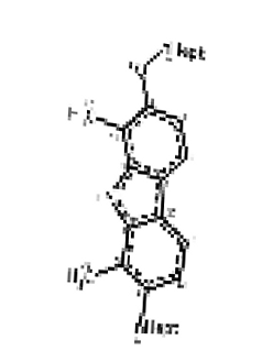 CCCCCCCOc1ccc2c(sc3c(C)c(CCCCCCC)ccc32)c1C